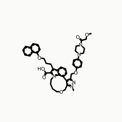 COCC(=O)N1CCN(c2ccc(OCc3nn(C)c4c3-c3cccc5c(CCCOc6cccc7ccccc67)c(C(=O)O)n(c35)CCCCOC4)cc2)CC1